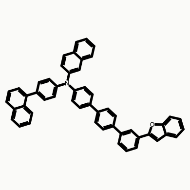 c1cc(-c2ccc(-c3ccc(N(c4ccc(-c5cccc6ccccc56)cc4)c4ccc5ccccc5c4)cc3)cc2)cc(-c2cc3ccccc3o2)c1